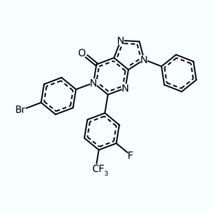 O=c1c2ncn(-c3ccccc3)c2nc(-c2ccc(C(F)(F)F)c(F)c2)n1-c1ccc(Br)cc1